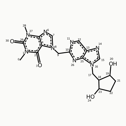 Cn1c(=O)c2c(ncn2Cc2ncc3ncn(CC4C(O)CCC4O)c3n2)n(C)c1=O